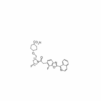 O=C(Cc1ccc2nc(-c3nccc4ccccc34)oc2c1F)N1C[C@@H](F)C[C@H]1CO[C@H]1CC[C@H](C(=O)O)CC1